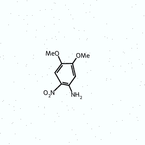 COc1cc(N)c([N+](=O)[O-])cc1OC